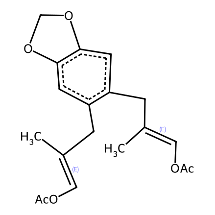 CC(=O)O/C=C(\C)Cc1cc2c(cc1C/C(C)=C/OC(C)=O)OCO2